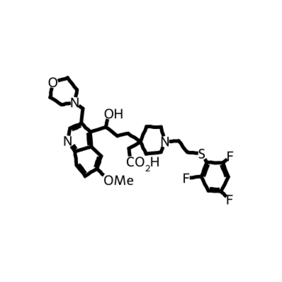 COc1ccc2ncc(CN3CCOCC3)c(C(O)CCC3(CC(=O)O)CCN(CCSc4c(F)cc(F)cc4F)CC3)c2c1